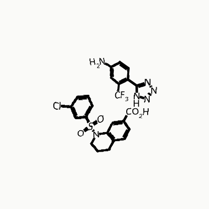 Nc1ccc(-c2nnn[nH]2)c(C(F)(F)F)c1.O=C(O)c1ccc2c(c1)N(S(=O)(=O)c1cccc(Cl)c1)CCC2